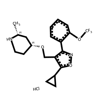 C[C@@H]1C[C@H](OCc2c(-c3ccccc3OC(F)(F)F)noc2C2CC2)CCN1.Cl